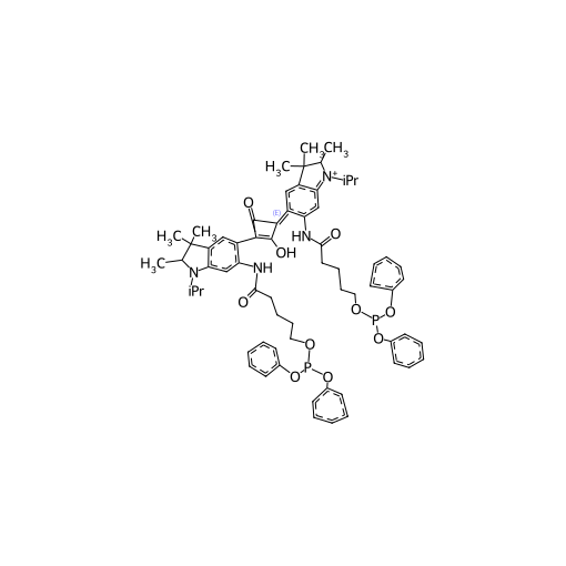 CC(C)N1c2cc(NC(=O)CCCCOP(Oc3ccccc3)Oc3ccccc3)c(C3=C(O)/C(=c4/cc5c(cc4NC(=O)CCCCOP(Oc4ccccc4)Oc4ccccc4)=[N+](C(C)C)C(C)C5(C)C)C3=O)cc2C(C)(C)C1C